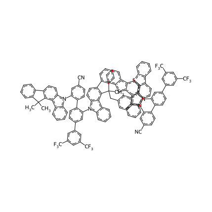 CC1(C)c2ccccc2-c2ccc3c(c21)c1ccccc1n3-c1cc(C#N)ccc1-c1ccc(-c2cc(C(F)(F)F)cc(C(F)(F)F)c2)cc1-n1c2ccccc2c2c3c(ccc21)-c1ccccc1C3(C)Cc1ccc2c(c1)c1c3sc4ccccc4c3ccc1n2-c1cc(C#N)ccc1-c1ccc(-c2cc(C(F)(F)F)cc(C(F)(F)F)c2)cc1-n1c2ccccc2c2c3sc4ccccc4c3ccc21